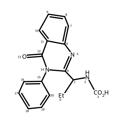 CCC(NC(=O)O)c1nc2ccccc2c(=O)n1-c1ccccc1